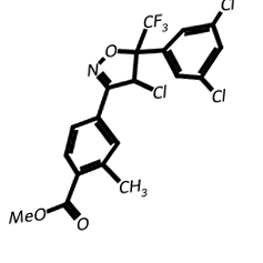 COC(=O)c1ccc(C2=NOC(c3cc(Cl)cc(Cl)c3)(C(F)(F)F)C2Cl)cc1C